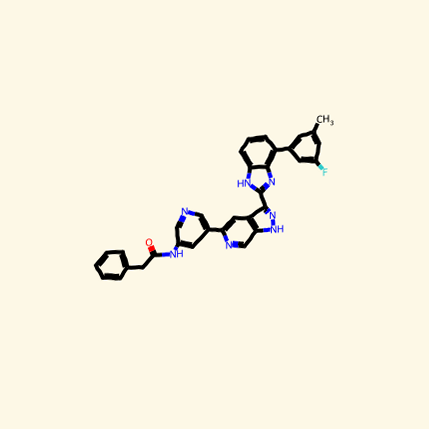 Cc1cc(F)cc(-c2cccc3[nH]c(-c4n[nH]c5cnc(-c6cncc(NC(=O)Cc7ccccc7)c6)cc45)nc23)c1